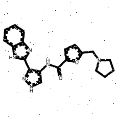 O=C(Nc1c[nH]nc1-c1nc2ccccc2[nH]1)c1ccc(CN2CCCC2)o1